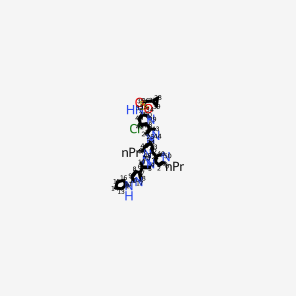 CCCc1cc(-n2cc(-c3ccc(NC4CCCC4)nc3)cn2)c(-c2cc(-n3cc(-c4ncc(NS(=O)(=O)CC5CC5)cc4Cl)cn3)cc(CCC)n2)cn1